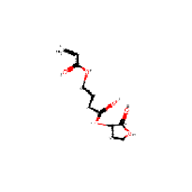 C=CC(=O)OCCCC(=O)OC1CCOC1=O